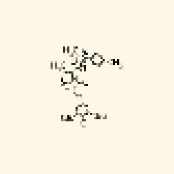 CC1=C(C(=O)OC(C)S(=O)(=O)c2ccc(C)cc2)N2C(=O)[C@@H](/N=C/c3cc(C(C)(C)C)c(O)c(C(C)(C)C)c3)[C@H]2SC1